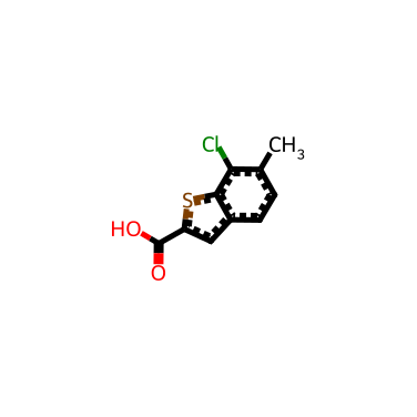 Cc1ccc2cc(C(=O)O)sc2c1Cl